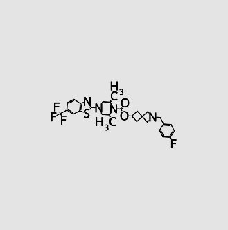 C[C@@H]1CN(c2nc3ccc(C(F)(F)F)cc3s2)C[C@@H](C)N1C(=O)OC1CC2(C1)CN(Cc1ccc(F)cc1)C2